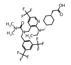 CCN(C[C@H]1CC[C@H](CC(=O)O)CC1)c1ncc(C(F)(F)F)cc1CN(Cc1cc(C(F)(F)F)cc(C(F)(F)F)c1)C(=O)N(C)C